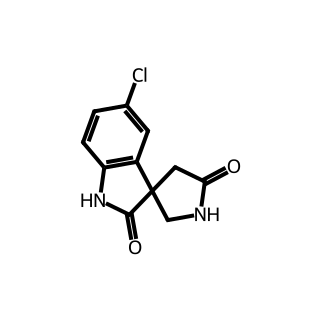 O=C1CC2(CN1)C(=O)Nc1ccc(Cl)cc12